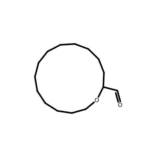 O=CC1CCCCCCCCCCCCCO1